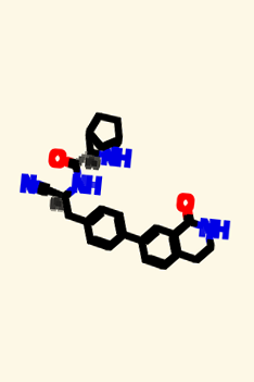 N#C[C@H](Cc1ccc(-c2ccc3c(c2)C(=O)NCC3)cc1)NC(=O)[C@H]1NC2CCC1C2